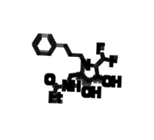 CCC(=O)NC[C@@H]1[C@@H](O)[C@H](O)C(C(F)F)N1CCCc1ccccc1